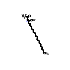 CCCCCCCCCCCCCCCCCCCC/C(O)=C/C(C)=O